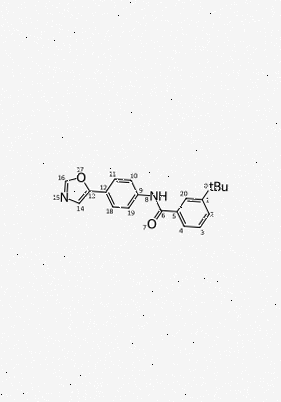 CC(C)(C)c1cccc(C(=O)Nc2ccc(-c3cnco3)cc2)c1